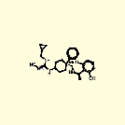 C=C(NC[C@]1(c2ccccc2)CC[C@H](N/C(=N/C#N)NCC2CC2)CC1)c1c(O)cccc1OC